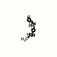 CCCNNC(=O)c1ccc(CNC(=O)c2cc3cc(Cl)ccc3o2)cc1